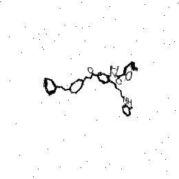 Cc1ccc(C(=O)Nc2cc(C(=O)CCC3CCCC(CCc4ccccc4)CC3)ccc2CCCCNc2ccccc2C)o1